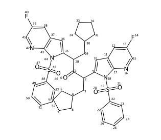 O=C(C(CC1CCCC1)c1cc2cc(F)cnc2n1S(=O)(=O)c1ccccc1)C(CC1CCCC1)c1cc2cc(F)cnc2n1S(=O)(=O)c1ccccc1